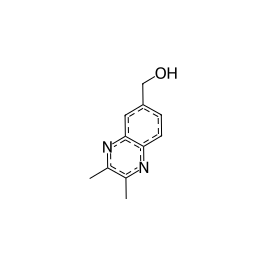 Cc1nc2ccc(CO)cc2nc1C